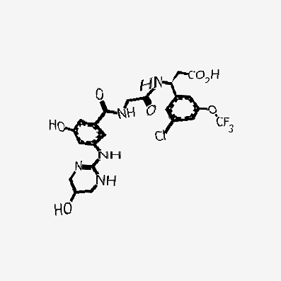 O=C(O)C[C@H](NC(=O)CNC(=O)c1cc(O)cc(NC2=NCC(O)CN2)c1)c1cc(Cl)cc(OC(F)(F)F)c1